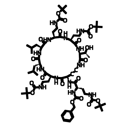 CC(C)C[C@@H]1NC(=O)[C@@H](CC(C)C)NC(=O)[C@H](CCNC(=O)OC(C)(C)C)NC(=O)[C@@H](NC(=O)[C@H](CCNC(=O)OC(C)(C)C)NC(=O)OCc2ccccc2)CCNC(=O)[C@H]([C@@H](C)O)NC(=O)[C@H](CCNC(=O)OC(C)(C)C)NC(=O)[C@H](CCNC(=O)OC(C)(C)C)NC1=O